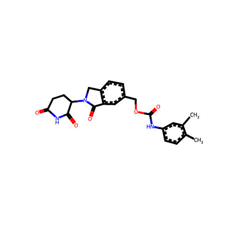 Cc1ccc(NC(=O)OCc2ccc3c(c2)C(=O)N(C2CCC(=O)NC2=O)C3)cc1C